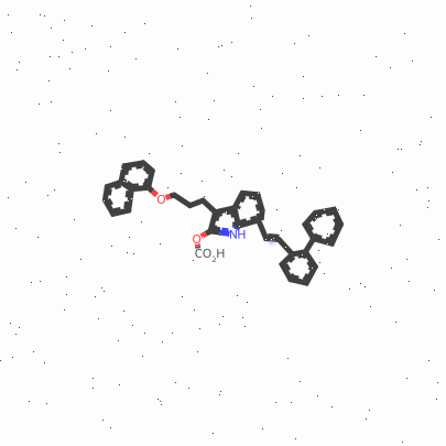 O=C(O)Oc1[nH]c2c(/C=C/c3ccccc3-c3ccccc3)cccc2c1CCCOc1cccc2ccccc12